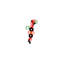 CC[C@H](C)COc1ccc(S(=O)(=O)c2ccc(OC[C@H](CCl)OC(C)=O)c(Cl)c2)cc1